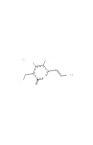 C/C=C/c1oc(=O)c(CO)c(OC)c1C=O